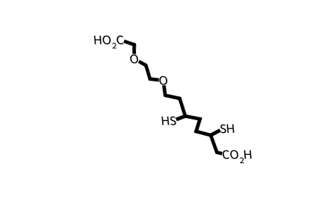 O=C(O)COCCOCCC(S)CCC(S)CC(=O)O